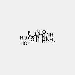 N=C(N)NC(=O)c1ncc(C2O[C@H](CO)[C@@H](O)[C@H]2F)[nH]1